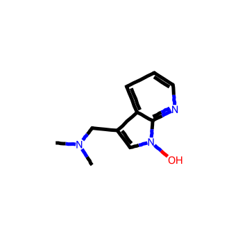 CN(C)Cc1cn(O)c2ncccc12